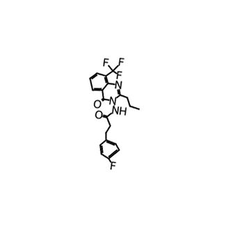 CCCc1nc2c(C(F)(F)F)cccc2c(=O)n1NC(=O)CCc1ccc(F)cc1